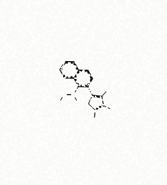 CC[O][Ti]([CH3])[c]1c(C2=C(C)C(C)=C(C)C2)ccc2ccccc12.Cl.Cl